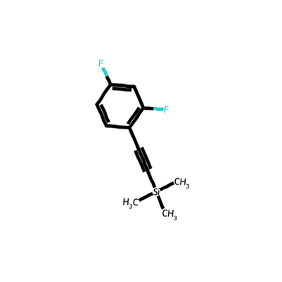 C[Si](C)(C)C#Cc1ccc(F)cc1F